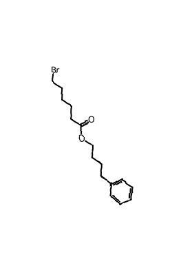 O=C(CCCCCBr)OCCCCc1ccccc1